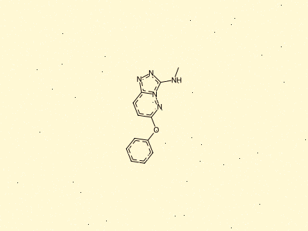 CNc1nnc2ccc(Oc3ccccc3)nn12